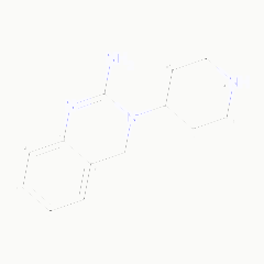 NC1=Nc2ccccc2CN1C1CCNCC1